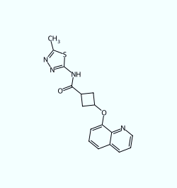 Cc1nnc(NC(=O)C2CC(Oc3cccc4cccnc34)C2)s1